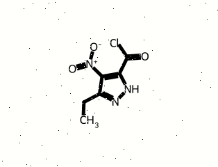 CCc1n[nH]c(C(=O)Cl)c1[N+](=O)[O-]